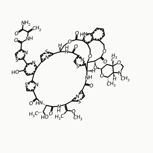 C=C(NC(=O)c1csc(-c2nc3c(cc2O)-c2nc(cs2)C(=O)N[C@@H]([C@@H](C)O)C(=O)N/C(=C(\C)OC)c2nc(cs2)C(=O)N[C@@H]2c4nc(cs4)C(=O)N[C@@H](COC(=O)c4[nH]c5cccc6c5c4COC2[C@H](O[C@H]2C[C@]4(C)OCN(C)[C@@H]4[C@H](C)O2)C(=O)OC6)c2nc-3cs2)n1)C(N)=O